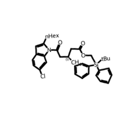 CCCCCCc1cc2ccc(Cl)cc2n1C(=O)C[C@H](C)CC(=O)OC[Si](c1ccccc1)(c1ccccc1)C(C)(C)C